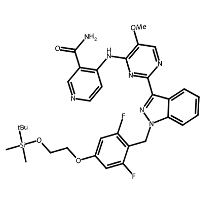 COc1cnc(-c2nn(Cc3c(F)cc(OCCO[Si](C)(C)C(C)(C)C)cc3F)c3ccccc23)nc1Nc1ccncc1C(N)=O